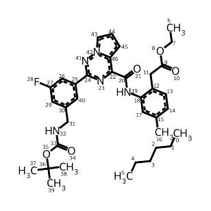 CCCCCC.CCOC(=O)Cc1ccc(C)cc1NC(=O)c1nc(-c2cc(F)cc(CNC(=O)OC(C)(C)C)c2)nn2cccc12